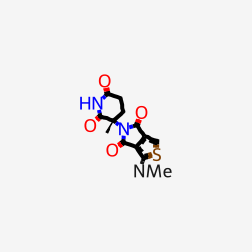 CNc1scc2c1C(=O)N([C@@]1(C)CCC(=O)NC1=O)C2=O